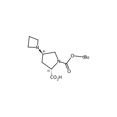 CC(C)(C)OC(=O)N1C[C@H](N2CCC2)C[C@H]1C(=O)O